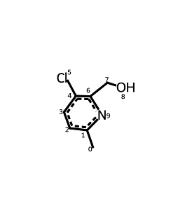 Cc1ccc(Cl)c(CO)n1